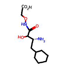 N[C@H](CC1CCCCC1)C(O)C(=O)NOCC(=O)O